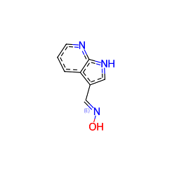 O/N=C/c1c[nH]c2ncccc12